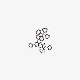 c1ccc(-c2ccc(N(c3ccc(C4(c5ccccc5)c5ccccc5-c5ccccc54)cc3)c3sc(-c4ccccc4)c4c3OCCO4)c(-c3ccccc3)c2)cc1